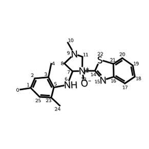 Cc1cc(C)c(NC2CN(C)C[N+]2([O-])c2nc3ccccc3s2)c(C)c1